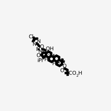 CC(C)C1=C2[C@H]3CC[C@@H]4[C@@]5(C)CC[C@H](OC(=O)CC(C)(C)C(=O)O)C(C)(C)C5CC[C@@]4(C)[C@]3(C)CC[C@@]2(C(O)c2nnc(-c3ncc(Cl)cn3)o2)CC1=O